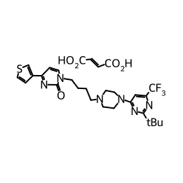 CC(C)(C)c1nc(N2CCN(CCCCn3ccc(-c4ccsc4)nc3=O)CC2)cc(C(F)(F)F)n1.O=C(O)C=CC(=O)O